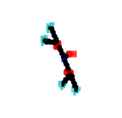 O=C(CCCCCCN(CCO)CCCCCCC(=O)OC(CCCCCCCC(F)(F)F)CCCCCC(F)(F)F)OC(CCCCCCCC(F)(F)F)CCCCCC(F)(F)F